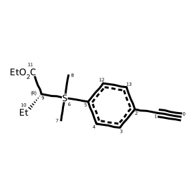 C#Cc1ccc(S(C)(C)[C@H](CC)C(=O)OCC)cc1